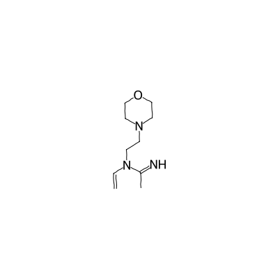 C=CN(CCN1CCOCC1)C(C)=N